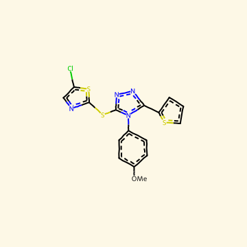 COc1ccc(-n2c(Sc3ncc(Cl)s3)nnc2-c2cccs2)cc1